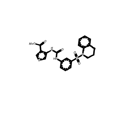 COC(=O)c1cscc1NC(=O)Nc1cccc(S(=O)(=O)N2CCCc3ccccc32)c1